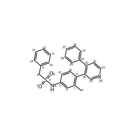 Cc1cc(NS(=O)(=O)Cc2ccccc2)ccc1-c1cnccc1-c1ccccc1